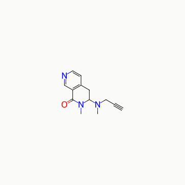 C#CCN(C)C1Cc2ccncc2C(=O)N1C